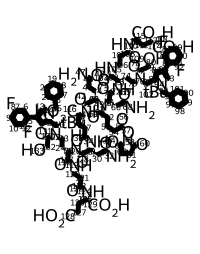 CC(C)(C)[C@H](c1cc(-c2cc(F)ccc2F)cn1Cc1ccccc1)N(CC[C@H](NC(=O)[C@H](CC(N)=O)NC(=O)CC[C@H](NC(=O)[C@H](CCC(N)=O)N(C(=O)CCCC(=O)ON1C(=O)CCC1=O)[C@@H](CC(N)=O)C(=O)N[C@@H](CCN(C(=O)CO)[C@@H](c1cc(-c2cc(F)ccc2F)cn1Cc1ccccc1)C(C)(C)C)C(=O)NCCC(=O)N[C@H](CCC(=O)O)C(=O)O)C(=O)O)C(=O)NCCC(=O)N[C@H](CCC(=O)O)C(=O)O)C(=O)CO